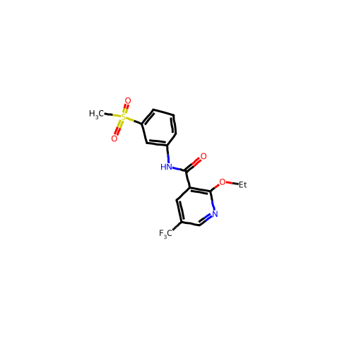 CCOc1ncc(C(F)(F)F)cc1C(=O)Nc1cccc(S(C)(=O)=O)c1